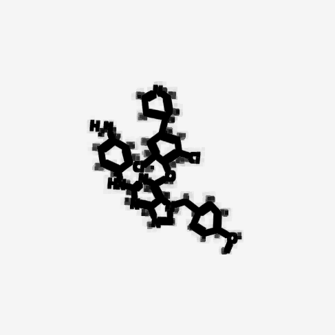 COc1ccc(Cn2cnc3nc(Nc4ccc(N)cc4)nc(Oc4c(Cl)cc(-c5ccncc5)cc4Cl)c32)cc1